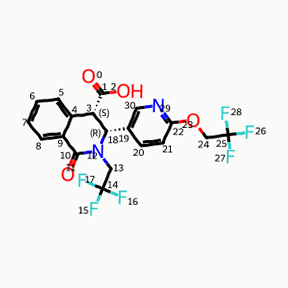 O=C(O)[C@H]1c2ccccc2C(=O)N(CC(F)(F)F)[C@H]1c1ccc(OCC(F)(F)F)nc1